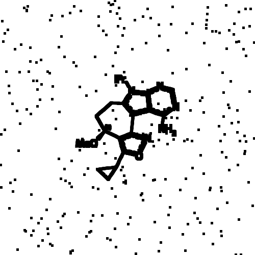 CO[C@H]1CCc2c(c3c(N)ncnc3n2C(C)C)-c2noc(C3CC3)c21